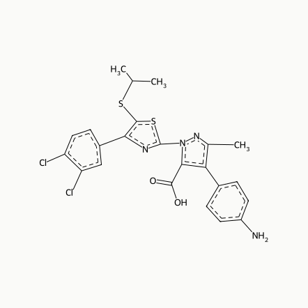 Cc1nn(-c2nc(-c3ccc(Cl)c(Cl)c3)c(SC(C)C)s2)c(C(=O)O)c1-c1ccc(N)cc1